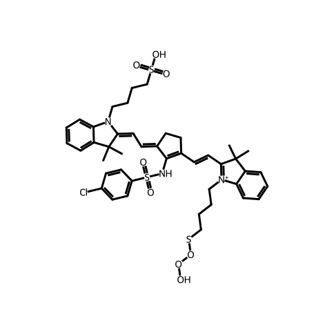 CC1(C)C(/C=C/C2=C(NS(=O)(=O)c3ccc(Cl)cc3)C(=C/C=C3/N(CCCCS(=O)(=O)O)c4ccccc4C3(C)C)/CC2)=[N+](CCCCSOOO)c2ccccc21